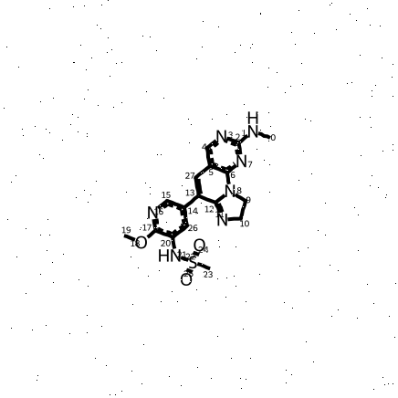 CNc1ncc2c(n1)N1CCN=C1C(c1cnc(OC)c(NS(C)(=O)=O)c1)=C2